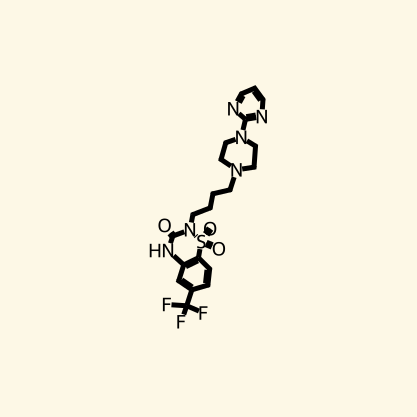 O=C1Nc2cc(C(F)(F)F)ccc2S(=O)(=O)N1CCCCN1CCN(c2ncccn2)CC1